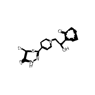 CCC1SC(C2=CCN(CC(O)c3ccccc3Cl)CC2)=NNC1=O